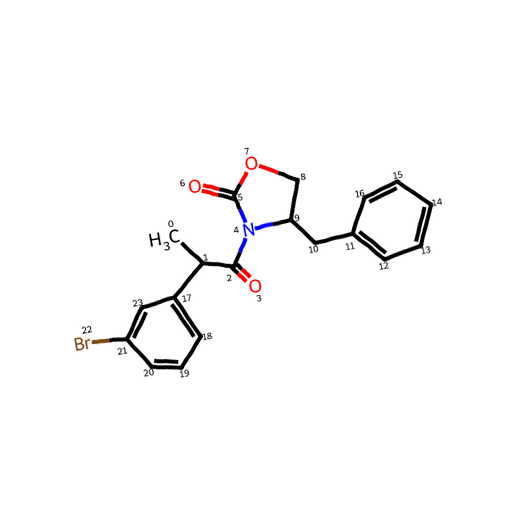 CC(C(=O)N1C(=O)OCC1Cc1ccccc1)c1cccc(Br)c1